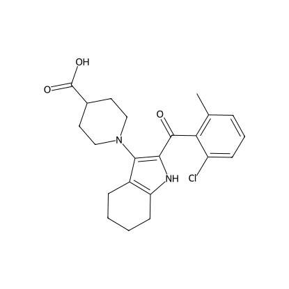 Cc1cccc(Cl)c1C(=O)c1[nH]c2c(c1N1CCC(C(=O)O)CC1)CCCC2